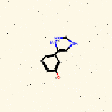 [O]c1cccc(C2=CNCNN2)c1